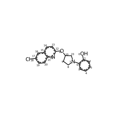 Oc1ccccc1N1CCC(Oc2ccc3cc(Cl)ccc3n2)C1